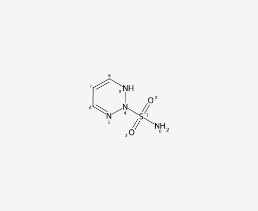 NS(=O)(=O)N1N=CC=CN1